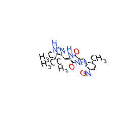 Cc1ccc(N=O)cc1/C=c1\[nH]c(=O)/c(=C/c2nc[nH]c2C(C)(C)C)[nH]c1=O